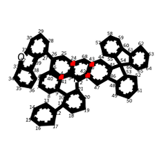 c1ccc(-c2ccccc2-c2c(-c3ccccc3)cccc2N(c2ccc(-c3cccc4oc5ccccc5c34)cc2)c2ccc3c(c2)-c2ccccc2C32c3ccccc3-c3ccccc32)cc1